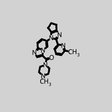 Cc1cccc(-c2nc3c(n2-c2ccc4ncc(C(=O)N5CCN(C)CC5)n4c2)CCC3)n1